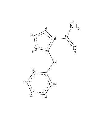 NC(=O)c1ccsc1Cc1ccccc1